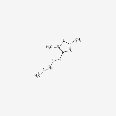 CCNCCN1C=C(C)CN1C